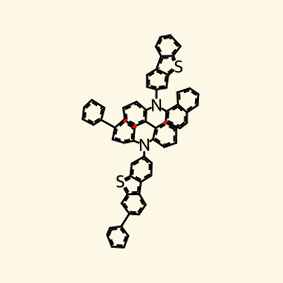 c1ccc(-c2ccc(N(c3ccc4c(c3)sc3cc(-c5ccccc5)ccc34)c3ccccc3-c3ccccc3N(c3ccc4c(c3)sc3ccccc34)c3cccc4ccccc34)cc2)cc1